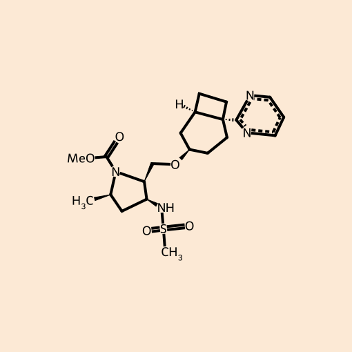 COC(=O)N1[C@H](C)C[C@H](NS(C)(=O)=O)[C@@H]1CO[C@@H]1CC[C@]2(c3ncccn3)CC[C@@H]2C1